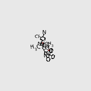 CCOC(=O)c1c(COc2c(C)nn(-c3ccc(C#N)c(Cl)c3)c2C)cnn1C(c1ccccc1)(c1ccccc1)c1ccccc1